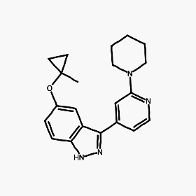 CC1(Oc2ccc3[nH]nc(-c4ccnc(N5CCCCC5)c4)c3c2)CC1